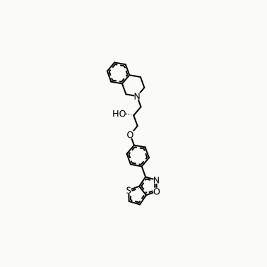 O[C@@H](COc1ccc(-c2noc3ccsc23)cc1)CN1CCc2ccccc2C1